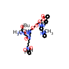 CCCc1nc2ccc(-c3nc4ccccc4n3C)cc2n1Cc1ccc(-c2ccccc2C(=O)OCCOCCOCCOCCn2cc(CN(CCCCCCN3C(=O)[C@@H]4C5C=CC(C5)[C@@H]4C3=O)C(=O)CCC(=O)NC(C)(C)CCOC(C)CC)nn2)cc1